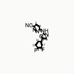 N#Cc1ccc(Nc2ncc(-c3ccc(F)c(F)c3)o2)nn1